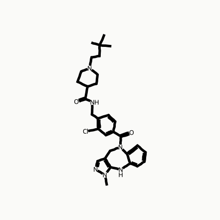 Cn1ncc2c1Nc1ccccc1N(C(=O)c1ccc(CNC(=O)C3CCN(CCC(C)(C)C)CC3)c(Cl)c1)C2